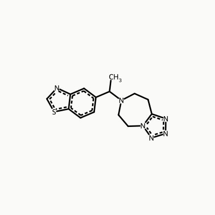 CC(c1ccc2scnc2c1)N1CCc2nnnn2CC1